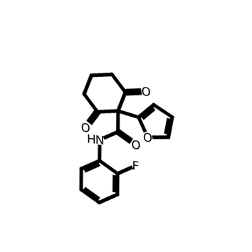 O=C1CCCC(=O)C1(C(=O)Nc1ccccc1F)c1ccco1